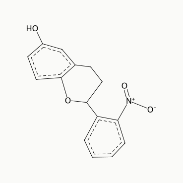 O=[N+]([O-])c1ccccc1C1CCc2cc(O)ccc2O1